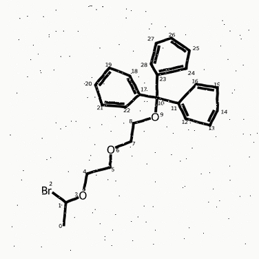 CC(Br)OCCOCCOC(c1ccccc1)(c1ccccc1)c1ccccc1